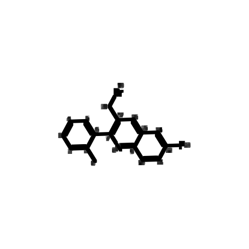 Cc1ccccc1-c1nc2ccc(F)cc2cc1CBr